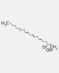 CCCCCC=CCC=CCC=CCC=CCCC(CC)C(=O)O